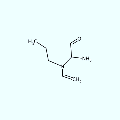 C=CN(CCC)C(N)C=O